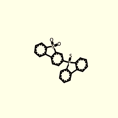 O=S1(=O)c2ccccc2-c2ccc(P3(=S)c4ccccc4-c4ccccc43)cc21